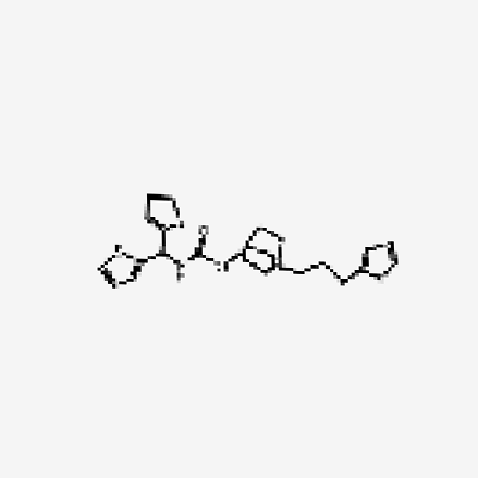 O=C(NC(c1cccs1)c1cccs1)OC1C[N+]2(CCCc3cccs3)CCC1CC2